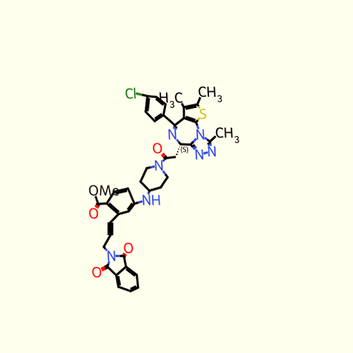 COC(=O)c1ccc(NC2CCN(C(=O)C[C@@H]3N=C(c4ccc(Cl)cc4)c4c(sc(C)c4C)-n4c(C)nnc43)CC2)cc1C#CCN1C(=O)c2ccccc2C1=O